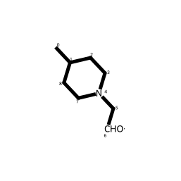 CC1CCN(C[C]=O)CC1